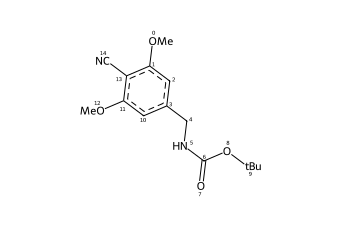 COc1cc(CNC(=O)OC(C)(C)C)cc(OC)c1C#N